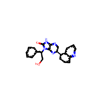 O=c1[nH]c2ncc(-c3cccc4ncccc34)nc2n1C(CO)c1ccccc1